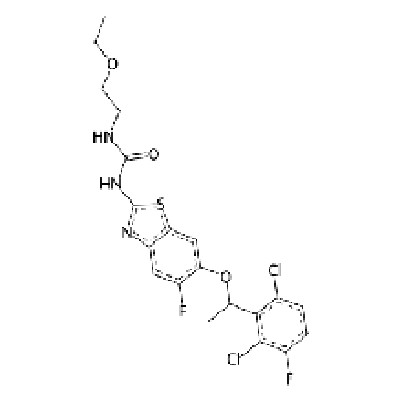 CCOCCNC(=O)Nc1nc2cc(F)c(OC(C)c3c(Cl)ccc(F)c3Cl)cc2s1